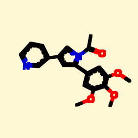 COc1cc(-c2cc(-c3cccnc3)cn2C(C)=O)cc(OC)c1OC